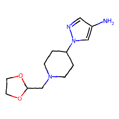 Nc1cnn(C2CCN(CC3OCCO3)CC2)c1